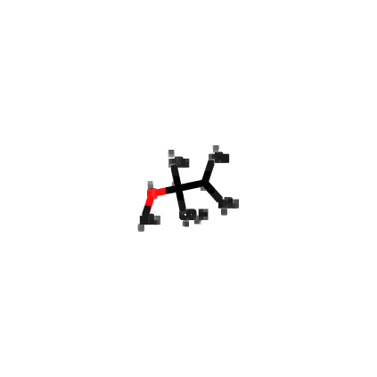 CCCCOC(CCCC)(C(=O)O)C(CCCC)CCCC